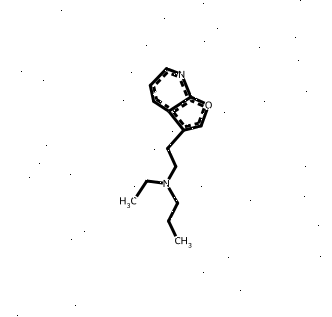 CCCN(CC)CCc1coc2ncccc12